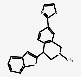 CN1Cc2cc(-c3nccs3)ccc2C(c2cc3ccccc3o2)C1